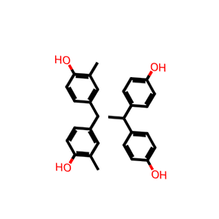 CC(c1ccc(O)cc1)c1ccc(O)cc1.Cc1cc(Cc2ccc(O)c(C)c2)ccc1O